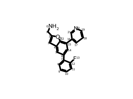 NCc1cc2cc(-c3cc[c]cc3F)cc(-c3cccnc3)c2o1